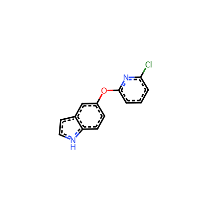 Clc1cccc(Oc2ccc3[nH]ccc3c2)n1